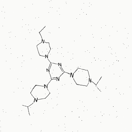 CCN1CCN(c2nc(N3CCN(C(C)C)CC3)nc(N3CCN(C(C)C)CC3)n2)CC1